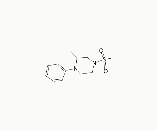 CC1CN(S(C)(=O)=O)CCN1c1ccccc1